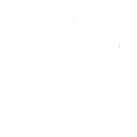 Fc1ccccc1C(CCl)CCCl